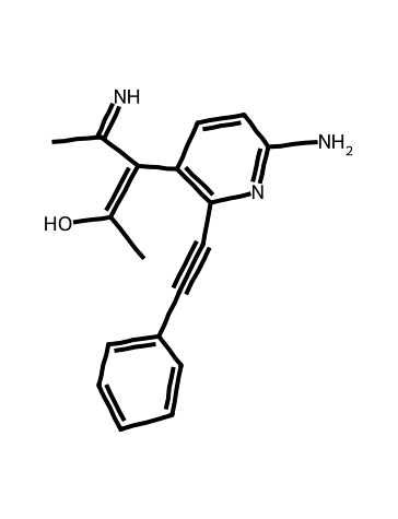 CC(=N)/C(=C(/C)O)c1ccc(N)nc1C#Cc1ccccc1